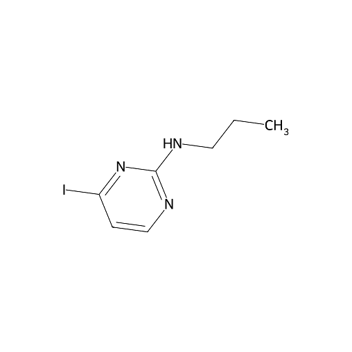 CCCNc1nccc(I)n1